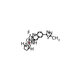 Cc1nnc(-c2ccc3nnc(NC(=O)N4[C@@H]5CC[C@H]4CC(NCCF)C5)cc3c2)s1